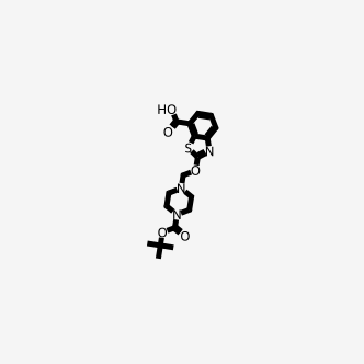 CC(C)(C)OC(=O)N1CCN(COc2nc3cccc(C(=O)O)c3s2)CC1